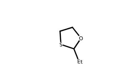 CCC1OCCS1